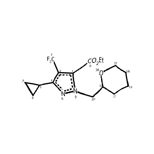 CCOC(=O)c1c(C(F)(F)F)c(C2CC2)nn1CC1CCCCO1